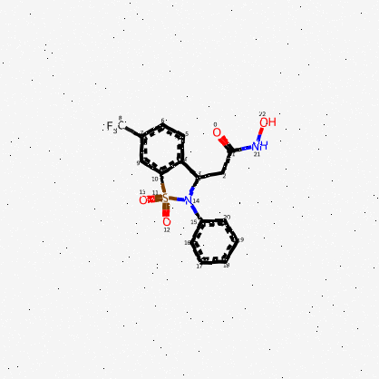 O=C(CC1c2ccc(C(F)(F)F)cc2S(=O)(=O)N1c1ccccc1)NO